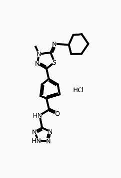 Cl.Cn1nc(-c2ccc(C(=O)Nc3nn[nH]n3)cc2)sc1=NC1CCCCC1